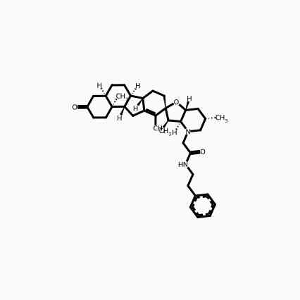 CC1=C2C[C@H]3[C@@H](CC[C@@H]4CC(=O)CC[C@@]43C)[C@@H]2CC[C@]12O[C@@H]1C[C@H](C)CN(CC(=O)NCCc3ccccc3)[C@H]1[C@H]2C